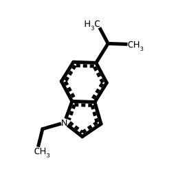 CCn1ccc2cc(C(C)C)ccc21